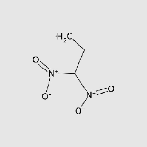 [CH2]CC([N+](=O)[O-])[N+](=O)[O-]